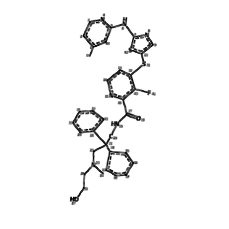 Cc1ccnc(Nc2ncc(Sc3ccnc(C(=O)NCC(CN(C)CCO)(c4ccccc4)c4ccccc4)c3F)s2)c1